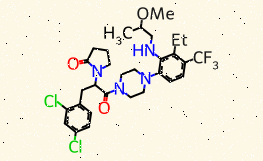 CCc1c(C(F)(F)F)ccc(N2CCN(C(=O)C(Cc3ccc(Cl)cc3Cl)N3CCCC3=O)CC2)c1NCC(C)OC